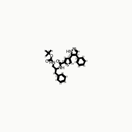 CC(C)(C)OC(=O)NCC(Cc1ccccc1)NC(=O)c1cc(-c2[nH]ncc2-c2ccccc2)cs1